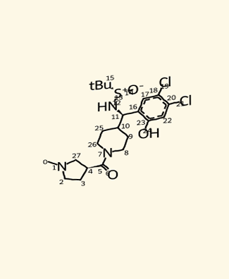 CN1CC[C@H](C(=O)N2CCC([C@@H](N[S@@+]([O-])C(C)(C)C)c3cc(Cl)c(Cl)cc3O)CC2)C1